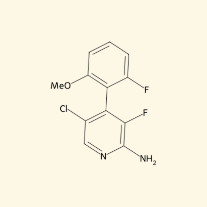 COc1cccc(F)c1-c1c(Cl)cnc(N)c1F